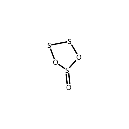 O=S1OSSO1